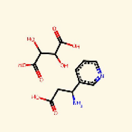 N[C@@H](CC(=O)O)c1cccnc1.O=C(O)C(O)C(O)C(=O)O